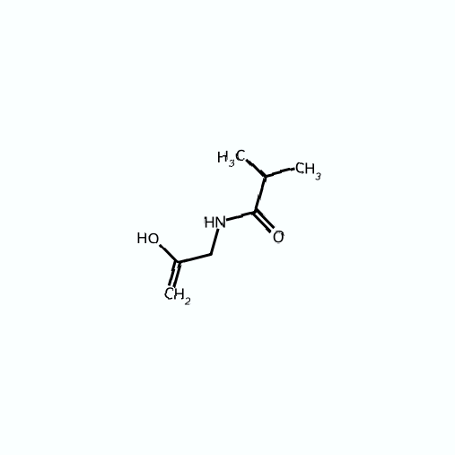 C=C(O)CNC(=O)C(C)C